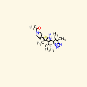 CC(=O)CN1CCC2(c3sc4[nH]c(-c5cn6ncnc6c(C)c5C)c(C(C)C)c4c3C)CC2C1